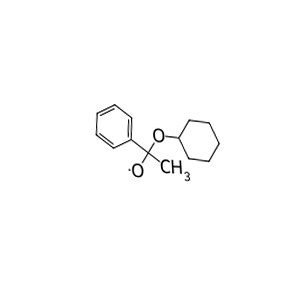 CC([O])(OC1CCCCC1)c1ccccc1